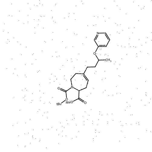 COC(=O)C1CC=C(CCC(C)Oc2cccnc2)CCN1C(=O)OC(C)(C)C